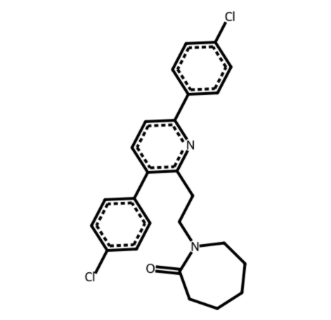 O=C1CCCCCN1CCc1nc(-c2ccc(Cl)cc2)ccc1-c1ccc(Cl)cc1